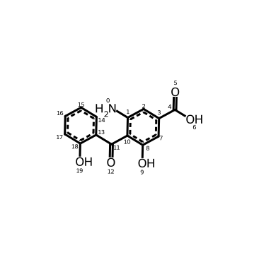 Nc1cc(C(=O)O)cc(O)c1C(=O)c1ccccc1O